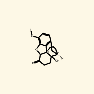 O=C1CCC2(O)[C@@H]3CCC[C@@]24c2c(ccc(OI)c2OC14)C3